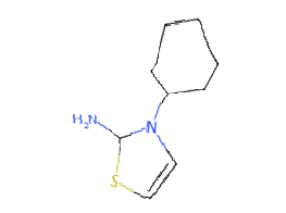 NC1SC=CN1C1CCCCC1